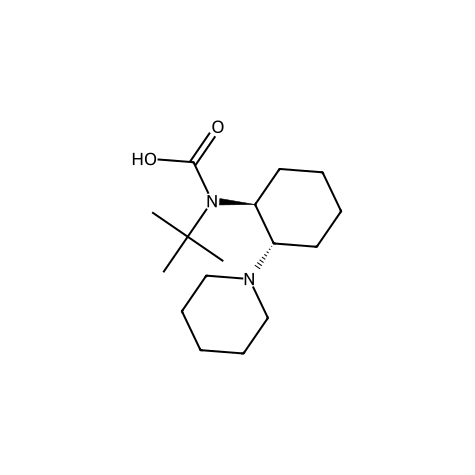 CC(C)(C)N(C(=O)O)[C@H]1CCCC[C@@H]1N1CCCCC1